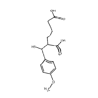 COc1ccc(C(S)C(CCCC(=O)O)C(=O)O)cc1